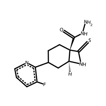 NNC(=O)[C@]12CCC(c3ncccc3F)C[C@@H]1NC2=S